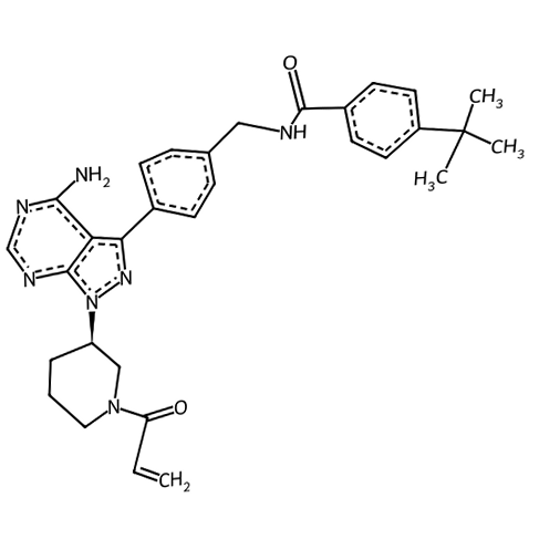 C=CC(=O)N1CCC[C@@H](n2nc(-c3ccc(CNC(=O)c4ccc(C(C)(C)C)cc4)cc3)c3c(N)ncnc32)C1